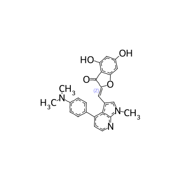 CN(C)c1ccc(-c2ccnc3c2c(/C=C2\Oc4cc(O)cc(O)c4C2=O)cn3C)cc1